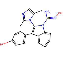 Cc1cnc(C)n1-c1c(-c2ccc(O)cc2)c2ccccc2n1/C(N)=N/O